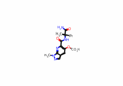 CC(C)C(C)(NC(=O)c1nc2c(cnn2C)cc1OC(=O)O)C(N)=O